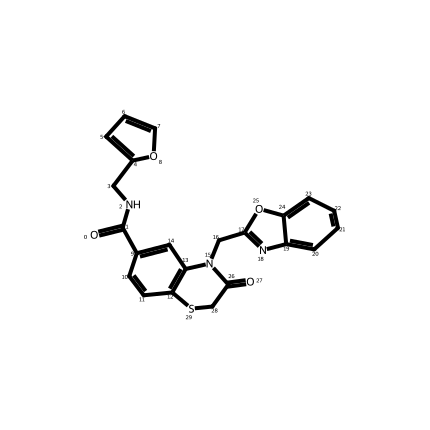 O=C(NCc1ccco1)c1ccc2c(c1)N(Cc1nc3ccccc3o1)C(=O)CS2